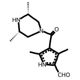 Cc1[nH]c(C=O)c(C)c1C(=O)N1C[C@@H](C)N[C@@H](C)C1